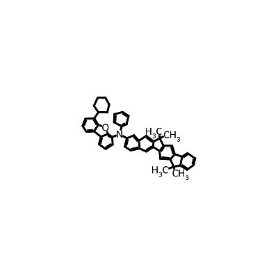 CC1(C)c2ccccc2-c2cc3c(cc21)-c1cc2ccc(N(c4ccccc4)c4cccc5c4oc4c(C6CCCCC6)cccc45)cc2cc1C3(C)C